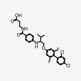 CC(C)C(COc1cc(F)c(-c2ccc(Cl)cc2Cl)c(F)c1)Nc1ccc(C(=O)NCCC(=O)O)cc1